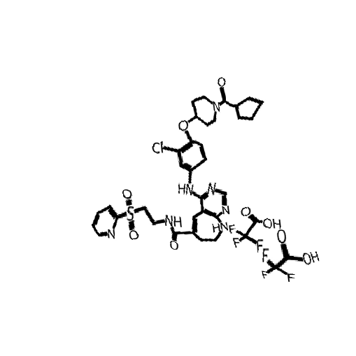 O=C(NCCS(=O)(=O)c1ccccn1)C1=Cc2c(ncnc2Nc2ccc(OC3CCN(C(=O)C4CCCC4)CC3)c(Cl)c2)NCC1.O=C(O)C(F)(F)F.O=C(O)C(F)(F)F